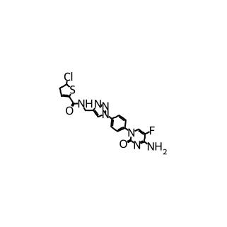 Nc1nc(=O)n(-c2ccc(-n3cc(CNC(=O)C4=CCC(Cl)S4)nn3)cc2)cc1F